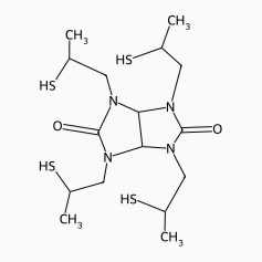 CC(S)CN1C(=O)N(CC(C)S)C2C1N(CC(C)S)C(=O)N2CC(C)S